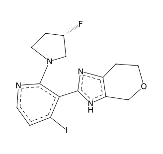 F[C@H]1CCN(c2nccc(I)c2-c2nc3c([nH]2)COCC3)C1